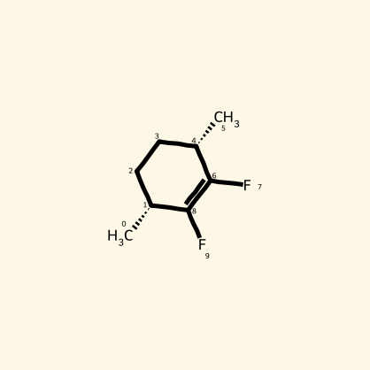 C[C@@H]1CC[C@H](C)C(F)=C1F